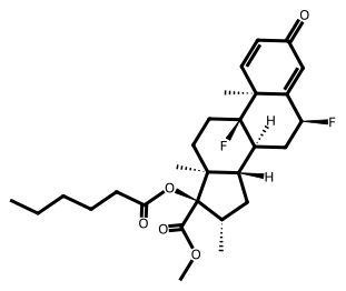 CCCCCC(=O)O[C@]1(C(=O)OC)[C@@H](C)C[C@H]2[C@@H]3C[C@H](F)C4=CC(=O)C=C[C@]4(C)[C@@]3(F)CC[C@@]21C